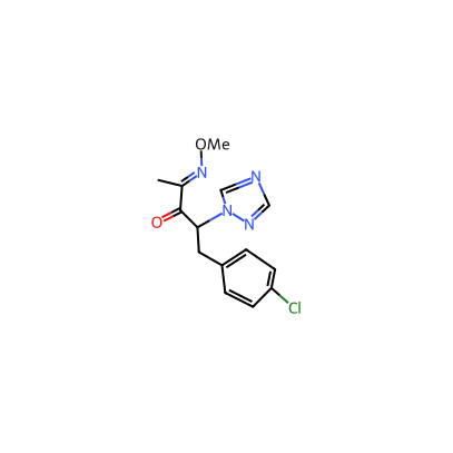 CON=C(C)C(=O)C(Cc1ccc(Cl)cc1)n1cncn1